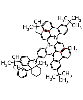 Cc1cc2c3c(c1)N(c1ccc(C(C)(C)C)cc1-c1ccccc1)c1cc4c(cc1B3c1ccc(N3c5ccc(C(C)(C)C)cc5C5(c6ccccc6)CCCCC35C)cc1N2c1ccc(C(C)(C)C)cc1-c1ccccc1)CC(C)(C)C4